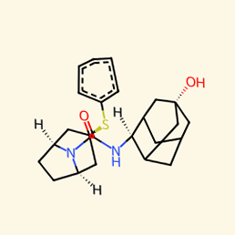 O=C(N[C@H]1C2CC3CC1C[C@](O)(C3)C2)N1[C@@H]2CC[C@H]1C[C@@H](Sc1ccccc1)C2